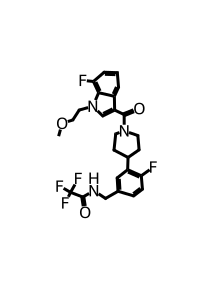 COCCn1cc(C(=O)N2CCC(c3cc(CNC(=O)C(F)(F)F)ccc3F)CC2)c2cccc(F)c21